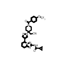 N#CCC1(n2cc(-c3cccc4nc(NC(=O)C5CC5)nn34)cn2)CCN(C(=O)c2ccc(OC(F)(F)F)cc2)CC1